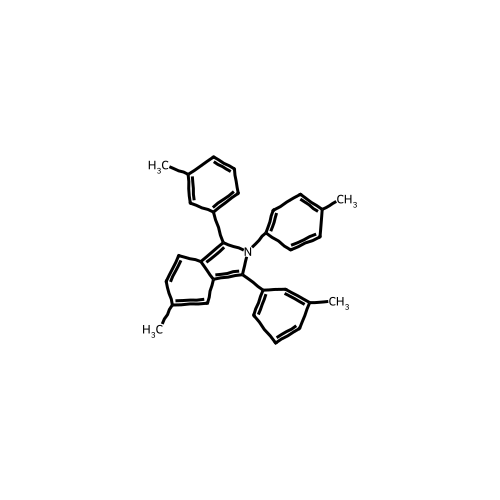 Cc1ccc(-n2c(-c3cccc(C)c3)c3ccc(C)cc3c2-c2cccc(C)c2)cc1